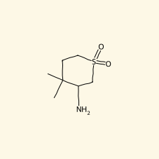 CC1(C)CCS(=O)(=O)CC1N